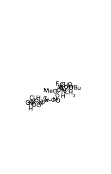 COc1cc2nc(C)nc(N[C@H](C)c3cc(C(=O)OC(C)(C)C)cc(C(F)(F)F)c3)c2cc1C1CCC(C(=O)N2CCC(CCN(C)CC3CCN(C(=O)c4ccc(Cl)c(N5CCC(=O)NC5=O)c4)CC3)CC2)CC1